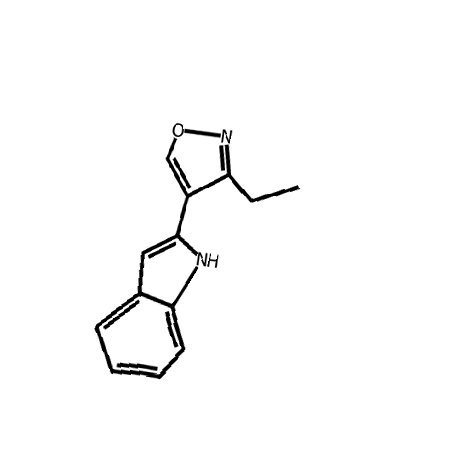 CCc1nocc1-c1cc2ccccc2[nH]1